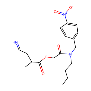 CCCCN(Cc1ccc([N+](=O)[O-])cc1)C(=O)COC(=O)C(C)CC=N